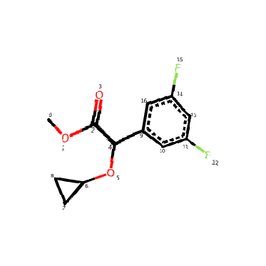 COC(=O)C(OC1CC1)c1cc(F)cc(F)c1